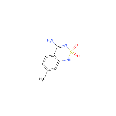 Cc1ccc2c(c1)NS(=O)(=O)N=C2N